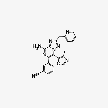 Cc1ncoc1-c1c(-c2cccc(C#N)c2)nc(N)c2nc(Cc3ccccn3)nn12